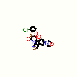 O=C1CC(c2ccsc2)(c2ccc(N3CCOCC3)cc2O)NC(=O)C1Sc1ccccc1Cl